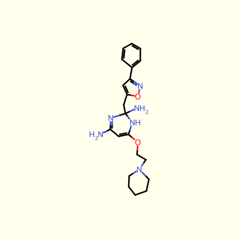 NC1=NC(N)(Cc2cc(-c3ccccc3)no2)NC(OCCN2CCCCC2)=C1